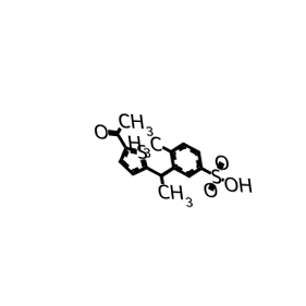 CC(=O)c1ccc(C(C)c2cc(S(=O)(=O)O)ccc2C)s1